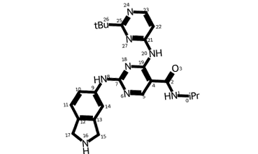 CC(C)NC(=O)c1cnc(Nc2ccc3c(c2)CNC3)nc1Nc1ccnc(C(C)(C)C)n1